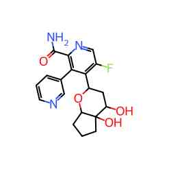 NC(=O)c1ncc(F)c(C2CC(O)C3(O)CCCC3O2)c1-c1cccnc1